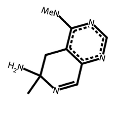 CNc1ncnc2c1CC(C)(N)N=C2